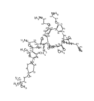 Cc1nc(N2CCC(OCCC(C)(C)C)CC2)nc(C)c1C(=O)N[C@@H](CCN)C(=O)N(C)[C@@H]1C(=O)N[C@@H](C)C(=O)N[C@H](C(=O)NCC#N)Cc2ccc(OCCN)c(c2)-c2cc1ccc2OCCN